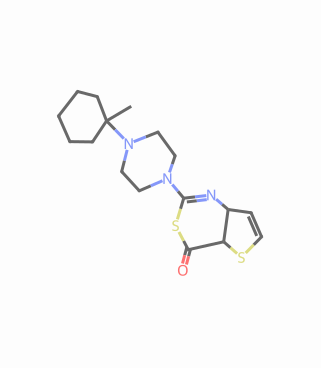 CC1(N2CCN(C3=NC4C=CSC4C(=O)S3)CC2)CCCCC1